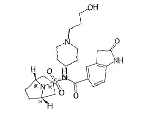 O=C1Cc2cc(C(=O)N[C@H]3C[C@H]4CC[C@@H](C3)N4S(=O)(=O)CC3CCN(CCCO)CC3)ccc2N1